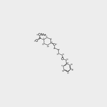 COC(=O)[C@H]1CC[C@@H](OCCCCOCc2ccccc2)CC1